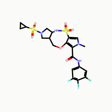 Cn1cc2c(c1C(=O)Nc1cc(F)c(F)c(F)c1)OCC1CN(S(=O)(=O)C3CC3)CC1NS2(=O)=O